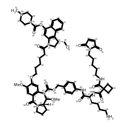 COc1cc2c(cc1OCCCCCC(=O)N1C[C@@H](CCl)c3c1cc(OC(=O)N1CCN(C)CC1)c1ccccc31)N(C(=O)OCc1ccc(NC(=O)[C@H](CCCCN)NC(=O)C3(C(=O)NCCCCCN4C(=O)C=CC4=O)CCC3)cc1)C(OC)[C@@H]1CCCN1C2=O